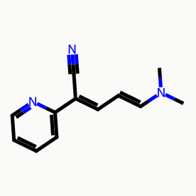 CN(C)C=CC=C(C#N)c1ccccn1